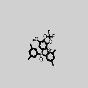 COc1cc(P(=O)(c2cc(C)cc(C)c2)c2cc(C)cc(C)c2)c(Br)c2c1OC(F)(F)O2